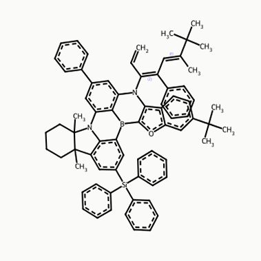 C=C/C(=C(\C=C(/C)C(C)(C)C)c1ccccc1)N1c2cc(-c3ccccc3)cc3c2B(c2cc([Si](c4ccccc4)(c4ccccc4)c4ccccc4)cc4c2N3C2(C)CCCCC42C)c2oc3cc(C(C)(C)C)ccc3c21